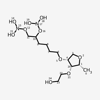 C[C@H]1OC[C@@H](OCCCCC(CON(O)O)ON(O)O)[C@H]1OCCO